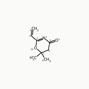 C=CC1=NC(=O)CC(C)(C)O1